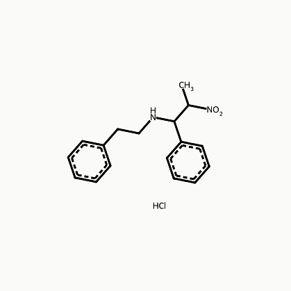 CC(C(NCCc1ccccc1)c1ccccc1)[N+](=O)[O-].Cl